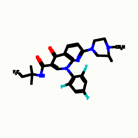 CC1CN(c2ccc3c(=O)c(C(=O)NC(C)(C)CC(F)(F)F)cn(-c4c(F)cc(F)cc4F)c3n2)CCN1C(=O)O